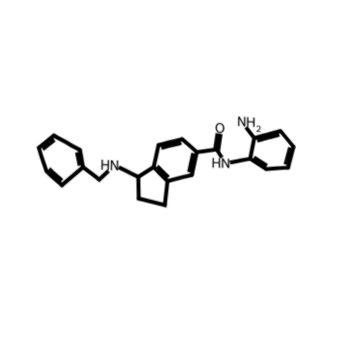 Nc1ccccc1NC(=O)c1ccc2c(c1)CCC2NCc1ccccc1